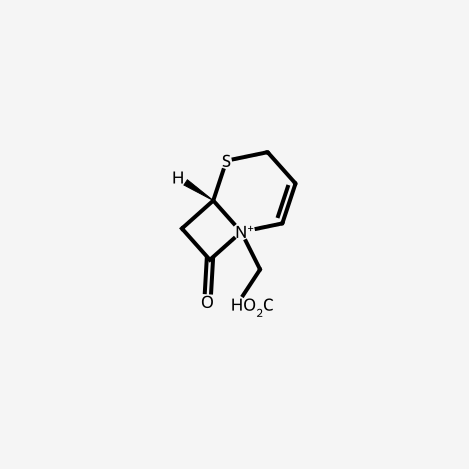 O=C(O)C[N+]12C=CCS[C@H]1CC2=O